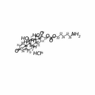 C[C@H]1C[C@@H]2[C@H]([C@@H](O)C[C@@]3(C)[C@H]2CC[C@]3(O)C(=O)COC(=O)OCCCCCN)[C@@]2(C)C=CC(=O)C=C12.Cl